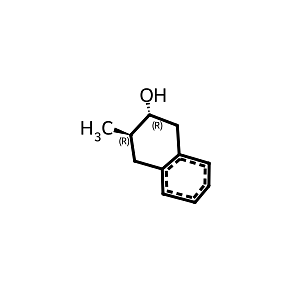 C[C@@H]1Cc2ccccc2C[C@H]1O